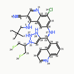 CC(C)(C)CNc1c(C#N)cnc2c(Cl)cc(N[C@H](C3=CN(C(CF)CF)NN3)c3cccc4ncccc34)cc12